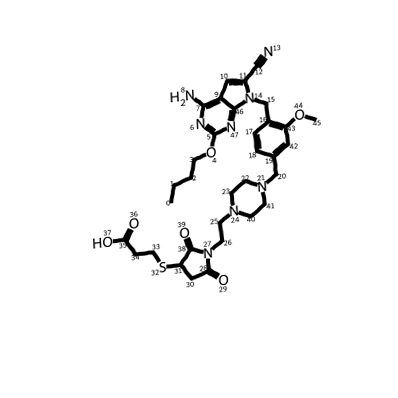 CCCCOc1nc(N)c2cc(C#N)n(Cc3ccc(CN4CCN(CCN5C(=O)CC(SCCC(=O)O)C5=O)CC4)cc3OC)c2n1